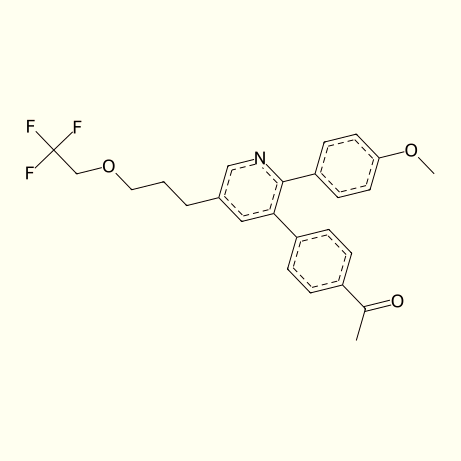 COc1ccc(-c2ncc(CCCOCC(F)(F)F)cc2-c2ccc(C(C)=O)cc2)cc1